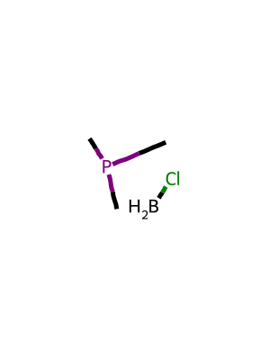 BCl.CP(C)C